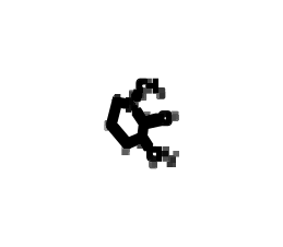 [CH2]C1CCCN(C)C1=O